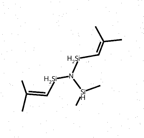 CC(C)=C[SiH2]N([SiH2]C=C(C)C)[SiH](C)C